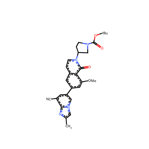 COc1cc(-c2cc(C#N)c3nc(C)cn3c2)cc2ccn(C3CCN(C(=O)OC(C)(C)C)C3)c(=O)c12